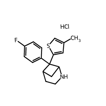 Cc1csc(C2(c3ccc(F)cc3)C3CCNC2C3)c1.Cl